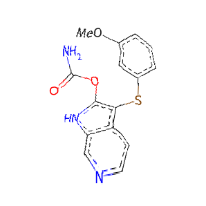 COc1cccc(Sc2c(OC(N)=O)[nH]c3cnccc23)c1